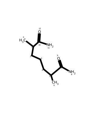 CC(CCCC(C)C(N)=O)C(N)=O